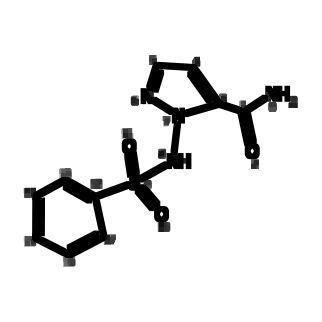 NC(=O)c1ccnn1NS(=O)(=O)c1ccccc1